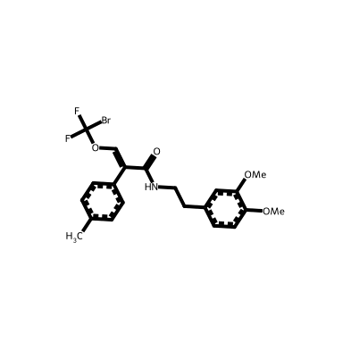 COc1ccc(CCNC(=O)C(=COC(F)(F)Br)c2ccc(C)cc2)cc1OC